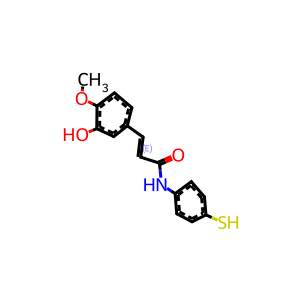 COc1ccc(/C=C/C(=O)Nc2ccc(S)cc2)cc1O